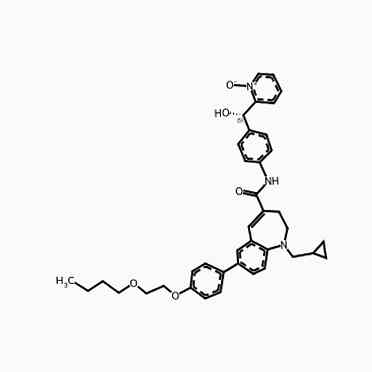 CCCCOCCOc1ccc(-c2ccc3c(c2)C=C(C(=O)Nc2ccc([C@H](O)c4cccc[n+]4[O-])cc2)CCN3CC2CC2)cc1